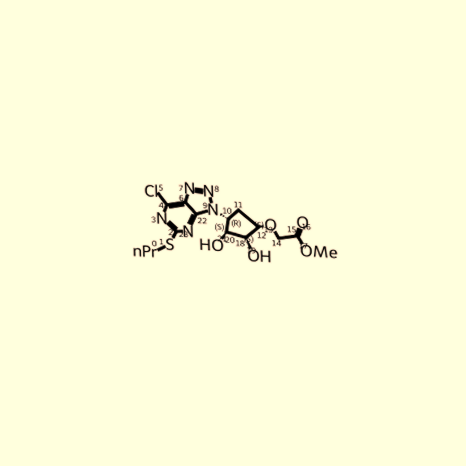 CCCSc1nc(Cl)c2nnn([C@@H]3C[C@H](OCC(=O)OC)[C@@H](O)[C@H]3O)c2n1